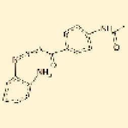 CC(=O)Nc1ccc(C(=O)N=[N+]=Nc2ccccc2N)cc1